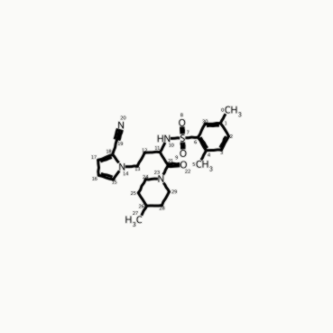 Cc1ccc(C)c(S(=O)(=O)NC(CCn2cccc2C#N)C(=O)N2CCC(C)CC2)c1